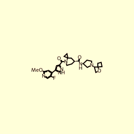 COc1cc(-c2cc(C(=O)N3CC[C@H](C(=O)N[C@@H]4CCN([C@@H]5COC56CCC6)C4)CC34CC4)n[nH]2)c(F)cn1